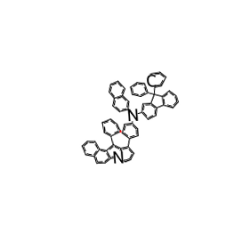 c1ccc(-c2c3c4ccccc4ccc3n3cccc(-c4ccc(N(c5ccc6c(c5)C(c5ccccc5)(c5ccccc5)c5ccccc5-6)c5ccc6ccccc6c5)cc4)c23)cc1